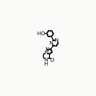 O=C1NCCn2nc(-c3ccnc(-c4cccc(O)c4)n3)cc21